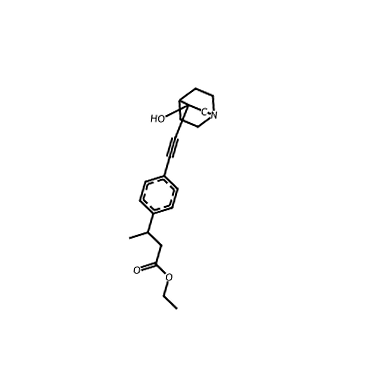 CCOC(=O)CC(C)c1ccc(C#CC2(O)CN3CCC2CC3)cc1